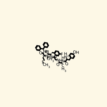 CSCC[C@@H](C(=O)NC(c1ccccc1)c1ccccc1)N(C)C(=O)[C@H](Cc1ccc(F)cc1)NC(=O)CNC(=O)[C@@H](C)NC(=O)[C@@H](N)Cc1ccc(O)cc1